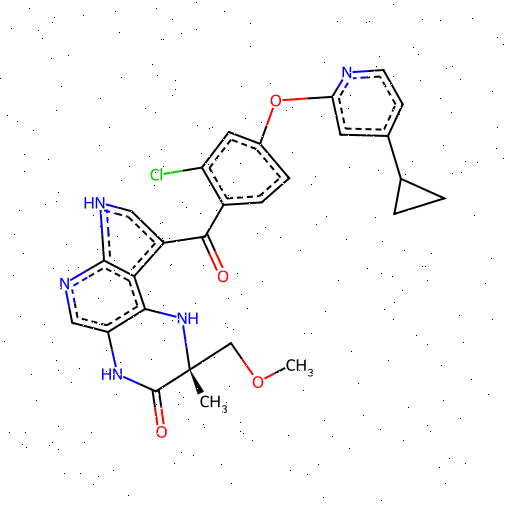 COC[C@@]1(C)Nc2c(cnc3[nH]cc(C(=O)c4ccc(Oc5cc(C6CC6)ccn5)cc4Cl)c23)NC1=O